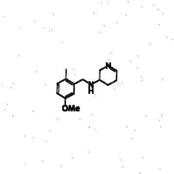 COc1ccc(C)c(CNC2CCC=NC2)c1